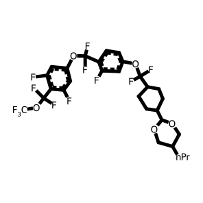 CCCC1COC(C2CCC(C(F)(F)Oc3ccc(C(F)(F)Oc4cc(F)c(C(F)(F)OC(F)(F)F)c(F)c4)c(F)c3)CC2)OC1